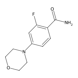 NC(=O)c1ccc(N2CCOCC2)cc1F